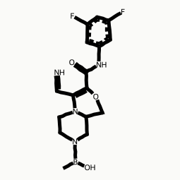 CB(O)N1CCN2C(C=N)=C(C(=O)Nc3cc(F)cc(F)c3)OCC2C1